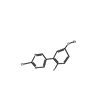 CCOc1ccc(F)c(-c2cnc(Cl)nc2)c1